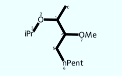 [CH2]C(OC(C)C)C(CCCCCC)OC